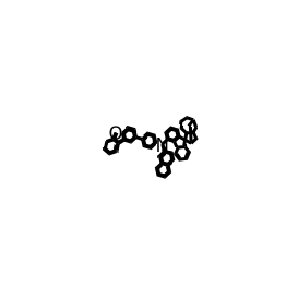 C1=CC2c3c(N(c4ccc(-c5ccc6oc7ccccc7c6c5)cc4)c4ccc5ccccc5c4)cccc3C3(C4CC5CCCC3C(C5)C4)C2C=C1